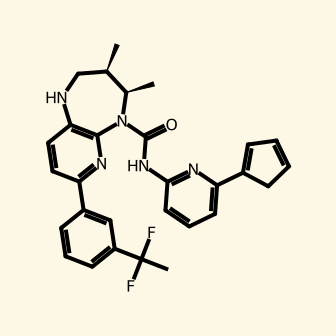 C[C@@H]1CNc2ccc(-c3cccc(C(C)(F)F)c3)nc2N(C(=O)Nc2cccc(C3=CC=CC3)n2)[C@@H]1C